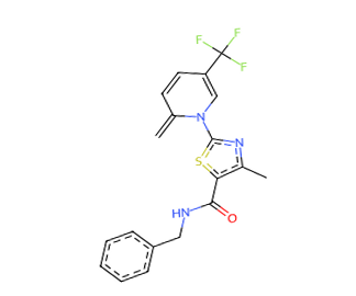 C=C1C=CC(C(F)(F)F)=CN1c1nc(C)c(C(=O)NCc2ccccc2)s1